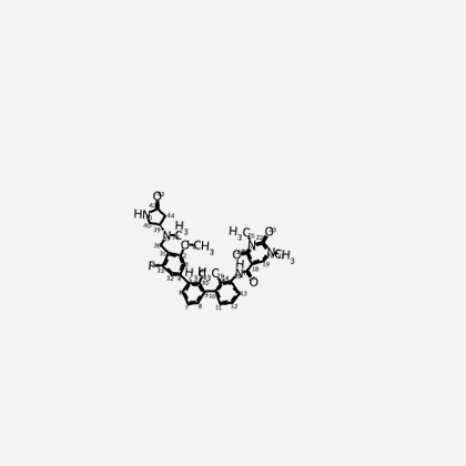 COc1cc(-c2cccc(-c3cccc(NC(=O)c4cn(C)c(=O)n(C)c4=O)c3C)c2C)cc(F)c1CN(C)[C@H]1CNC(=O)C1